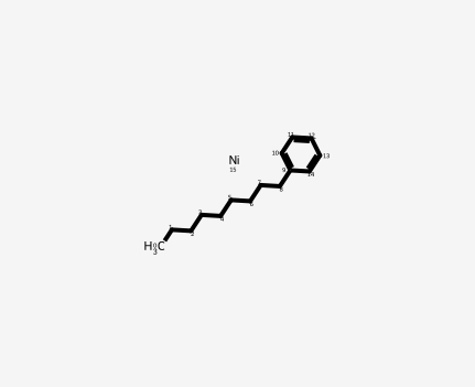 CCCCCCCCCc1cc[c]cc1.[Ni]